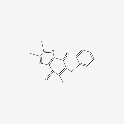 CC1=C(Cc2ccccc2)C(=O)c2nc(C)c(C)nc2C1=O